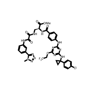 COC(=O)[C@H](CNC(=O)C(=O)Nc1cccc(-c2nnnn2C)c1)NC(=O)c1ccc(Nc2nc(NC3(c4ccc(Cl)cc4)CC3)nc(OCC(F)(F)F)n2)cc1